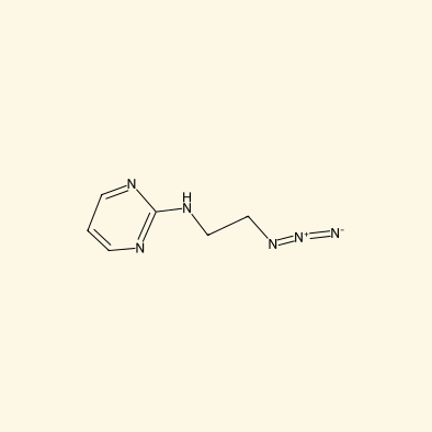 [N-]=[N+]=NCCNc1ncccn1